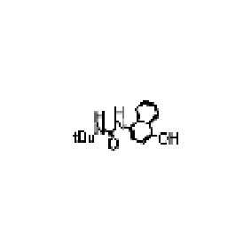 CC(C)(C)NC(=O)Nc1ccc(O)c2ccccc12